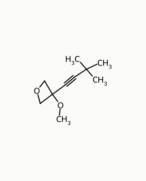 COC1(C#CC(C)(C)C)COC1